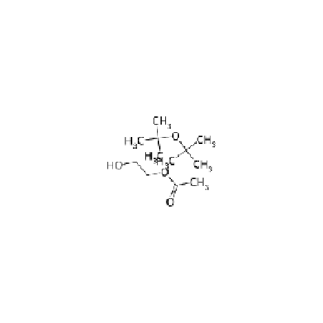 CC(=O)OCCO.CC(C)(C)OC(C)(C)C